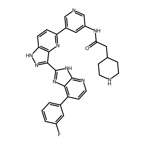 O=C(CC1CCNCC1)Nc1cncc(-c2ccc3[nH]nc(-c4nc5c(-c6cccc(F)c6)ccnc5[nH]4)c3n2)c1